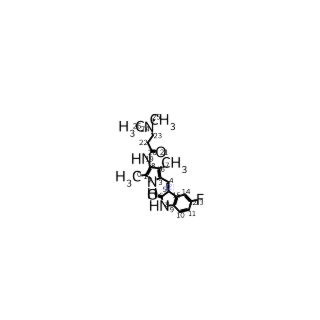 Cc1[nH]c(/C=C2\C(=O)Nc3ccc(F)cc32)c(C)c1NC(=O)CCN(C)C